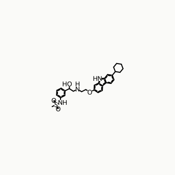 CS(=O)(=O)Nc1cccc(C(O)CNCCOc2ccc3c(c2)[nH]c2cc(C4CCCCC4)ccc23)c1